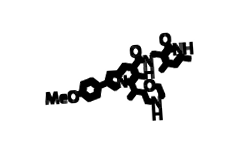 COc1ccc(-c2cc3cc(C(=O)NCc4c(C)cc(C)[nH]c4=O)c(C)c(C(C)C4CNCCO4)n3c2)cc1